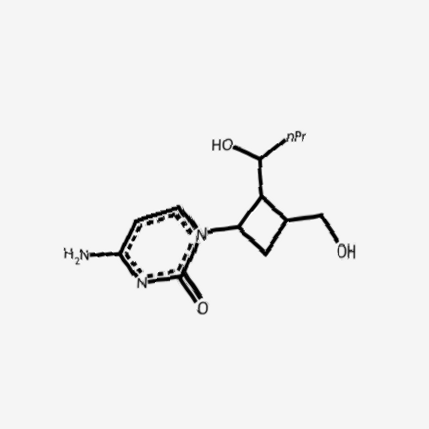 CCCC(O)C1C(CO)CC1n1ccc(N)nc1=O